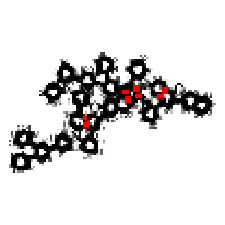 c1ccc(-c2ccc(-c3ccc(N(c4ccc(-c5cccc(-n6c7ccccc7c7cccc(-c8ccc(-c9ccc(-c%10ccc(N(c%11ccccc%11-c%11ccc%12oc%13cc%14ccccc%14cc%13c%12c%11)c%11ccccc%11-n%11c%12ccccc%12c%12ccccc%12%11)cc%10)cc9-c9ccccc9)cc8)c76)c5)cc4)c4ccccc4-c4ccc5oc6cc7ccccc7cc6c5c4)cc3)cc2-c2ccccc2)cc1